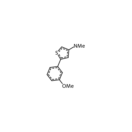 CNc1csc(-c2cccc(OC)c2)c1